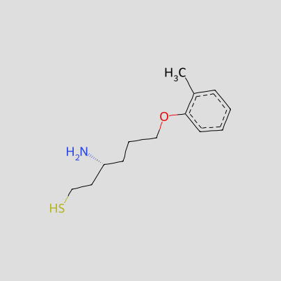 Cc1ccccc1OCCC[C@@H](N)CCS